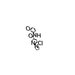 COc1cccc(NC(=O)c2cnc(N3CCCC3)c(Cl)c2)c1